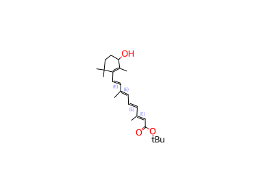 CC1=C(/C=C/C(C)=C/C=C/C(C)=C/C(=O)OC(C)(C)C)C(C)(C)CCC1O